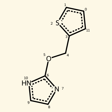 c1csc(COc2ncc[nH]2)c1